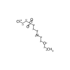 CCOCC[N]CCCS(=O)(=O)CCCl